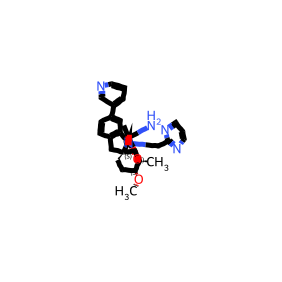 CO[C@H]1CC[C@@]2(Cc3ccc(-c4cccnc4)cc3[C@]23N=C(N)N(Cc2ncccn2)C3=O)C[C@@H]1C